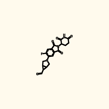 O=CC1C2CN(c3cc4c(cc3F)C(=O)N(C3CCC(=O)NC3=O)C4=O)CC12